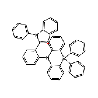 c1ccc(-n2c(-c3ccccc3N3c4ccccc4[Si](c4ccccc4)(c4ccccc4)c4ccccc43)nc3ccccc32)cc1